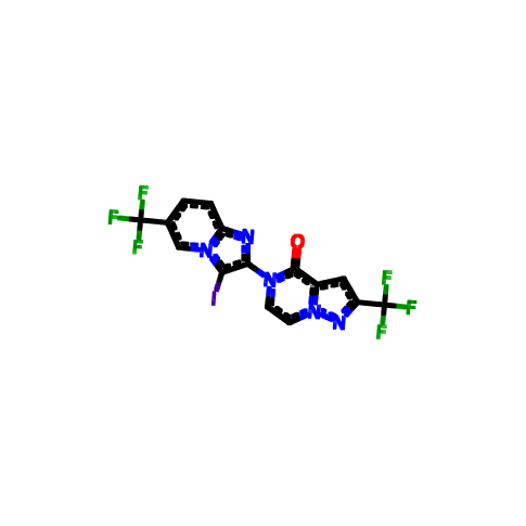 O=c1c2cc(C(F)(F)F)nn2ccn1-c1nc2ccc(C(F)(F)F)cn2c1I